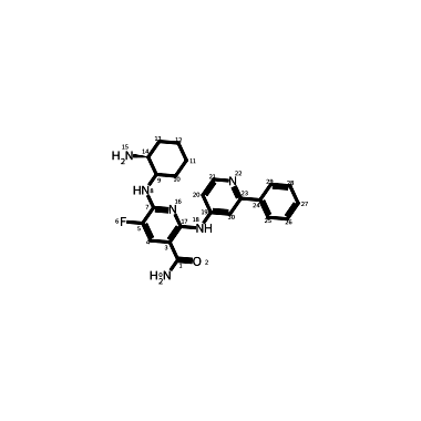 NC(=O)c1cc(F)c(NC2CCCC[C@@H]2N)nc1Nc1ccnc(-c2ccccc2)c1